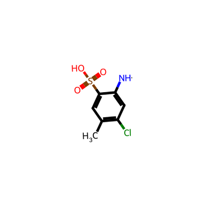 Cc1cc(S(=O)(=O)O)c([NH])cc1Cl